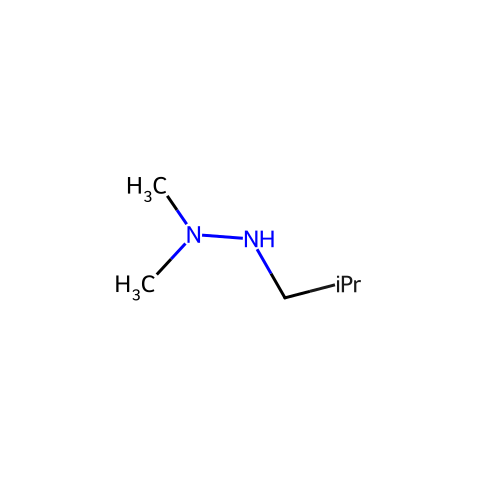 CC(C)CNN(C)C